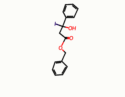 O=C(CC(O)(I)c1ccccc1)OCc1ccccc1